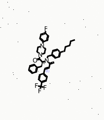 C=C(/C=C/c1ccc(C(F)(F)F)cc1)N(Cc1ccc(CCCCC)cc1)[C@@H](Cc1ccccc1)C(=O)N1CCN(c2ccc(F)cc2)CC1